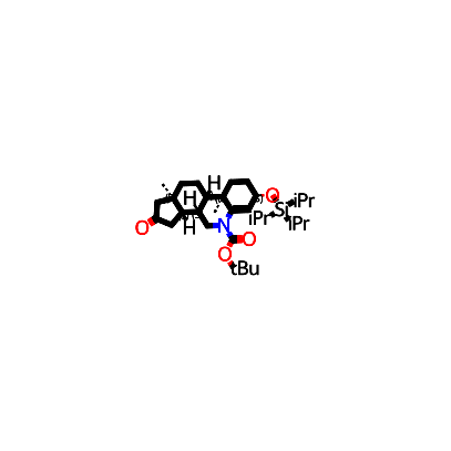 CC(C)[Si](O[C@@H]1C=C2N(C(=O)OC(C)(C)C)C[C@H]3[C@@H]4CC(=O)C[C@@]4(C)CC[C@@H]3[C@@]2(C)CC1)(C(C)C)C(C)C